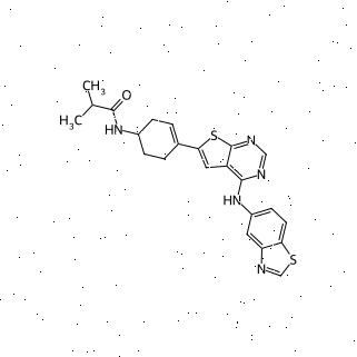 CC(C)C(=O)NC1CC=C(c2cc3c(Nc4ccc5scnc5c4)ncnc3s2)CC1